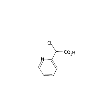 O=C(O)C(Cl)c1ccccn1